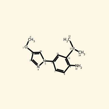 COc1cnn(-c2ccc(N)c(P(C)C)c2)c1